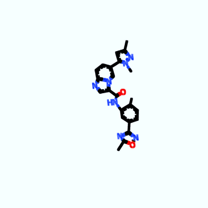 Cc1cc(-c2ccc3ncc(C(=O)Nc4cc(-c5noc(C)n5)ccc4C)n3c2)n(C)n1